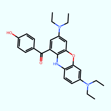 CCN(CC)c1ccc2c(c1)Oc1cc(N(CC)CC)cc(C(=O)c3ccc(O)cc3)c1N2